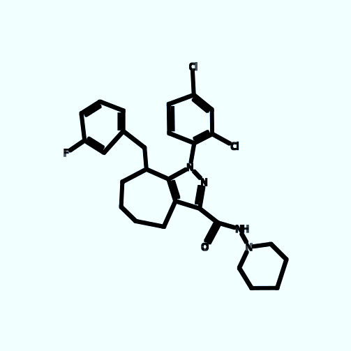 O=C(NN1CCCCC1)c1nn(-c2ccc(Cl)cc2Cl)c2c1CCCCC2Cc1cccc(F)c1